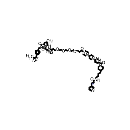 Cc1ncsc1-c1ccc(CNC(=O)[C@@H]2C[C@@H](O)CN2C(=O)[C@@H](NC(=O)CCOCCOCCOCCOCCC(=O)N2CCN(C3CCN(c4ccc(C(=O)N5CCC(CCCCNC(=O)/C=C/c6cccnc6)CC5)nn4)CC3)CC2)C(C)(C)C)cc1